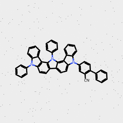 N#Cc1cc(-n2c3ccccc3c3c2ccc2c4ccc5c(c6ccccc6n5-c5ccccc5)c4n(-c4ccccc4)c23)ccc1-c1ccccc1